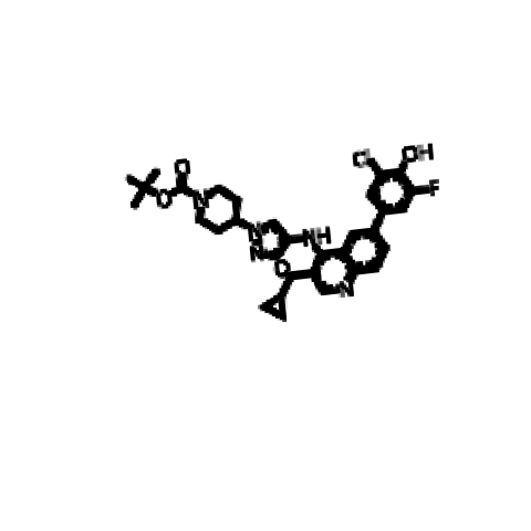 CC(C)(C)OC(=O)N1CCC(n2cc(Nc3c(C(=O)C4CC4)cnc4ccc(-c5cc(F)c(O)c(Cl)c5)cc34)cn2)CC1